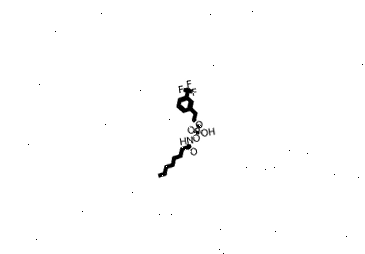 CCCCCCCC(=O)NOP(=O)(O)OCCc1cccc(C(F)(F)F)c1